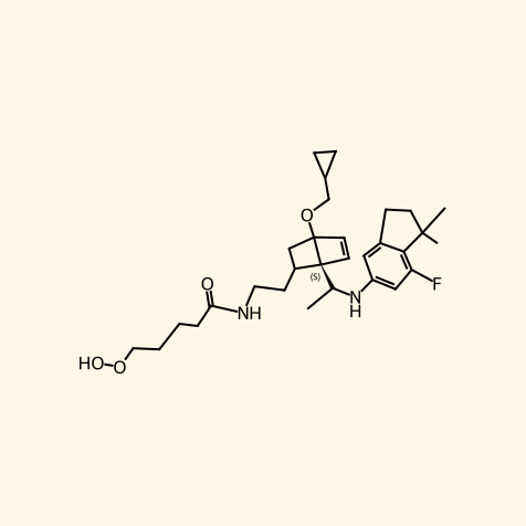 CC(Nc1cc(F)c2c(c1)CCC2(C)C)[C@]12C=CC1(OCC1CC1)CC2CCNC(=O)CCCCOO